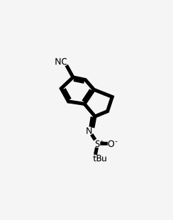 CC(C)(C)[S+]([O-])N=C1CCc2cc(C#N)ccc21